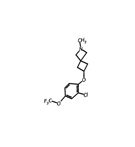 CN1CC2(CC(Oc3ccc(OC(F)(F)F)cc3Cl)C2)C1